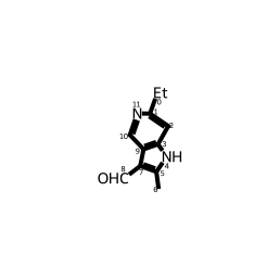 CCc1cc2[nH]c(C)c(C=O)c2cn1